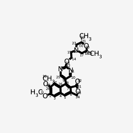 COc1cc2cc3c(c(-c4cnc(OCCN5C[C@@H](C)O[C@@H](C)C5)nc4)c2cc1OC)C(=O)OC3